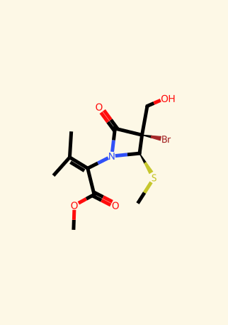 COC(=O)C(=C(C)C)N1C(=O)[C@](Br)(CO)[C@H]1SC